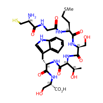 CSCC[C@H](NC(=O)CNC(=O)[C@@H](N)CS)C(=O)N[C@@H](CO)C(=O)N[C@H](C(=O)N[C@@H](Cc1c[nH]c2ccccc12)C(=O)N[C@@H](CO)C(=O)O)[C@@H](C)O